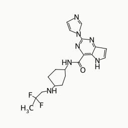 CC(F)(F)CNC1CCC(NC(=O)c2nc(-n3ccnc3)nc3cc[nH]c23)CC1